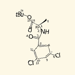 C[C@@H](NC(=O)c1cc(Cl)cc(Cl)c1)C(=O)OC(C)(C)C